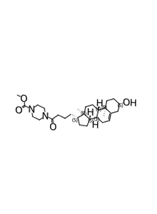 COC(=O)N1CCN(C(=O)CCC[C@H]2CC[C@H]3[C@@H]4CC=C5C[C@@H](O)CC[C@]5(C)[C@H]4CC[C@]23C)CC1